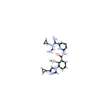 Cc1c(C(=O)Nc2cccc(C(=N)N(C=N)C3CC3)n2)cccc1-n1cnc(C2CC2)c1